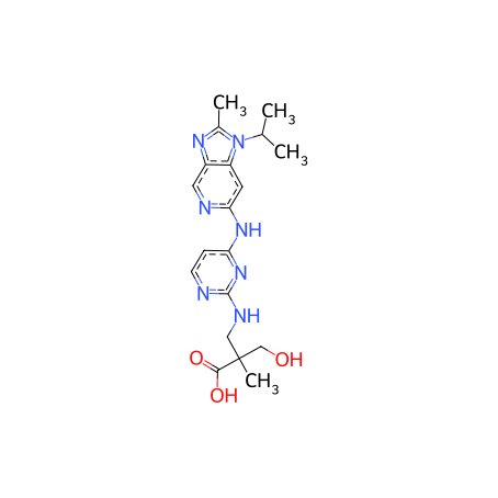 Cc1nc2cnc(Nc3ccnc(NCC(C)(CO)C(=O)O)n3)cc2n1C(C)C